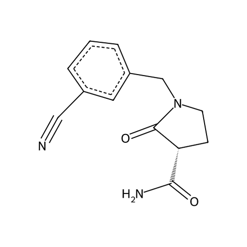 N#Cc1cccc(CN2CC[C@H](C(N)=O)C2=O)c1